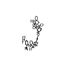 N#Cc1cc(C(F)(F)F)ccc1NC(=O)C1(n2cc(C#CC3CN(c4ccc5c(c4)C(=O)N(C4CCC(=O)NC4=O)C5=O)C3)cn2)CC1